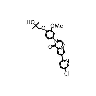 COc1cc(-n2cnn3cc(-c4ccc(Cl)cn4)cc3c2=O)ccc1OCC(C)(C)O